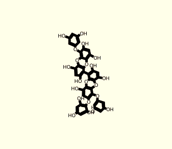 Oc1cc(O)cc(Oc2c(O)cc(O)c3c2Oc2c(O)cc(O)c(-c4c(O)cc(O)c5c4Oc4c(O)cc(Oc6c(O)cc(O)cc6O)c(Oc6cc(O)cc(O)c6)c4O5)c2O3)c1